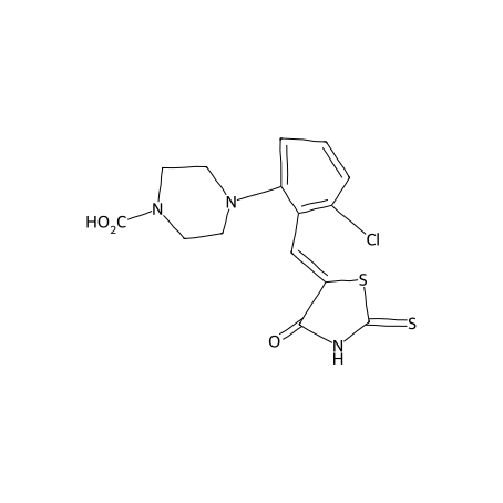 O=C1NC(=S)SC1=Cc1c(Cl)cccc1N1CCN(C(=O)O)CC1